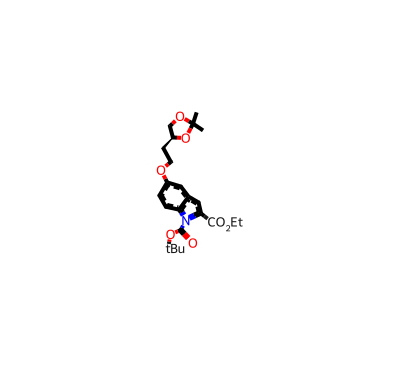 CCOC(=O)c1cc2cc(OCC[C@H]3COC(C)(C)O3)ccc2n1C(=O)OC(C)(C)C